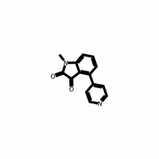 CN1C(=O)C(=O)c2c(-c3ccncc3)cccc21